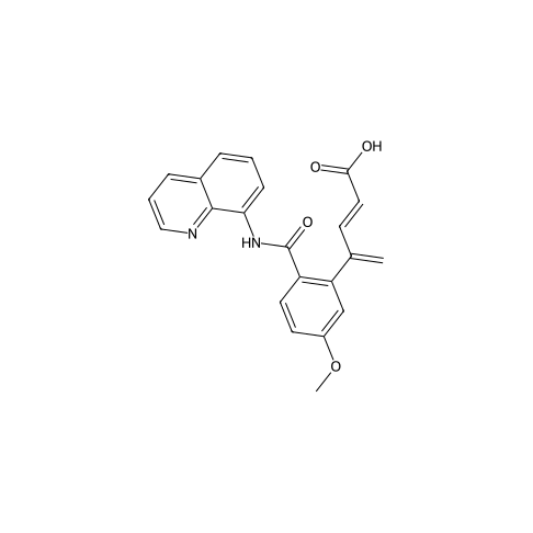 C=C(/C=C/C(=O)O)c1cc(OC)ccc1C(=O)Nc1cccc2cccnc12